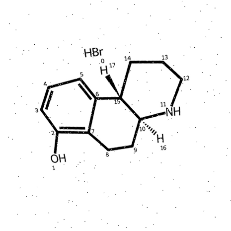 Br.Oc1cccc2c1CC[C@@H]1NCCC[C@@H]21